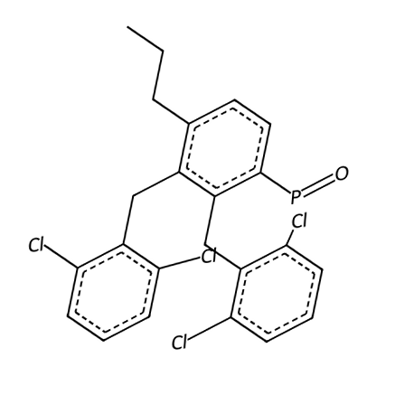 CCCc1ccc(P=O)c(Cc2c(Cl)cccc2Cl)c1Cc1c(Cl)cccc1Cl